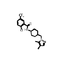 Cc1cnn(CC2CCC(NC(=O)c3cc(C(F)(F)F)ccc3Cl)CC2)c1C